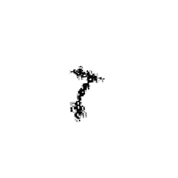 CCCc1cc(C)[nH]c(=O)c1CNC(=O)c1cc(-c2ccc(N3CCC(N(C)Cc4cc(F)c5c(c4)C(=O)N(C4CCC(=O)NC4=O)C5=O)CC3)nc2)cc2c1cnn2C(C)C